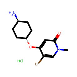 Cl.Cn1cc(Br)c(O[C@H]2CC[C@H](N)CC2)cc1=O